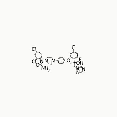 NC(=O)N(c1ccc(Cl)cc1Cl)N1CCN(c2ccc(OCC(O)(Cn3cncn3)c3ccc(F)cc3F)cc2)CC1